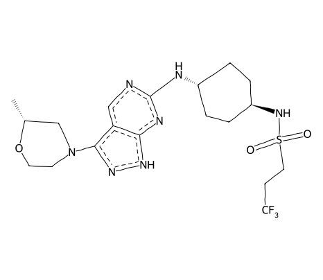 C[C@@H]1CN(c2n[nH]c3nc(N[C@H]4CC[C@H](NS(=O)(=O)CCC(F)(F)F)CC4)ncc23)CCO1